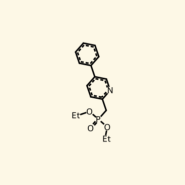 CCOP(=O)(Cc1ccc(-c2ccccc2)cn1)OCC